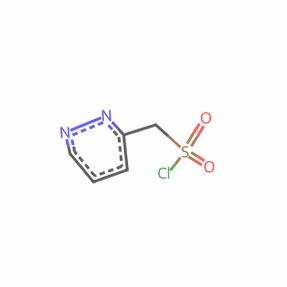 O=S(=O)(Cl)Cc1cccnn1